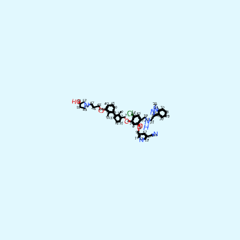 Cc1c(COc2cc(OCc3cncc(C#N)c3)c(CNCc3nn(C)c4ccccc34)cc2Cl)cccc1-c1cccc(OCCCN2CCC(O)C2)c1C